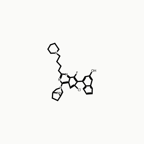 Oc1cc(-c2c(Cl)cc3c(N4CC5CCC(C4)N5)nc(CCCCN4CCCCC4)nc3c2F)c2ccccc2c1